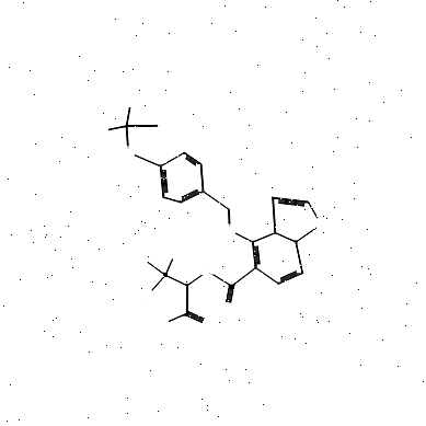 CC(C)(C)C(NC(=O)C1=C(OCc2ccc(OC(F)(F)F)cc2)C2C=CSC2C=C1)C(=O)O